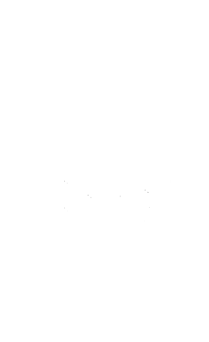 O=C(O)N(CC1(O)CCN(c2nc(Oc3cccc(F)c3)cc(C(F)(F)F)n2)CC1)C1CC1